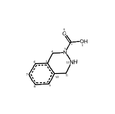 O=C(O)N1Cc2ccccc2CN1